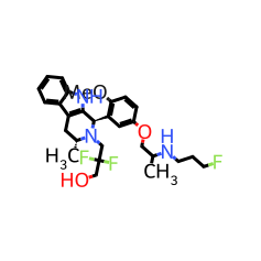 COc1ccc(OCC(C)NCCCF)cc1[C@@H]1c2[nH]c3ccccc3c2C[C@@H](C)N1CC(F)(F)CO